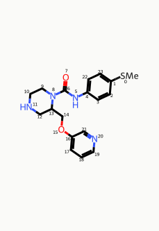 CSc1ccc(NC(=O)N2CCNCC2COc2cccnc2)cc1